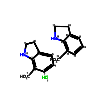 Cl.O=C(O)c1cccc2c1NCC2.O=C(O)c1cccc2c1NCC2